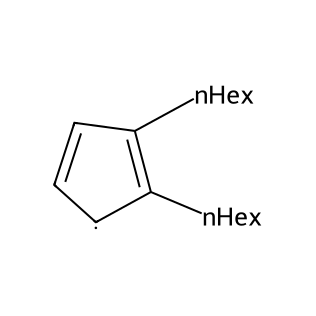 CCCCCCC1=C(CCCCCC)C=C[CH]1